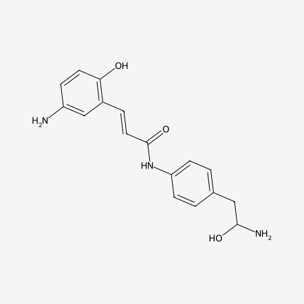 Nc1ccc(O)c(C=CC(=O)Nc2ccc(CC(N)O)cc2)c1